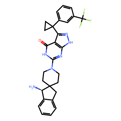 N[C@@H]1c2ccccc2CC12CCN(c1nc3[nH]nc(C4(c5cccc(C(F)(F)F)c5)CC4)c3c(=O)[nH]1)CC2